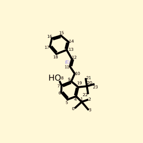 CC(C)(C)c1ccc(O)c(C/C=C/c2ccccc2)c1C(C)(C)C